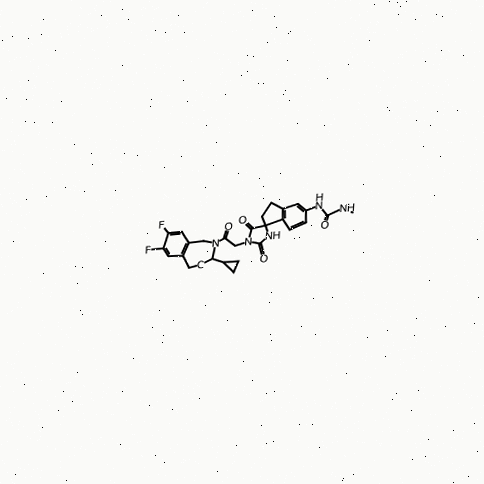 CNC(=O)Nc1ccc2c(c1)CCC21NC(=O)N(CC(=O)N2Cc3cc(F)c(F)cc3CCC2C2CC2)C1=O